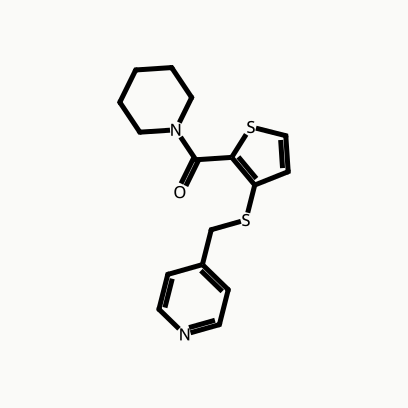 O=C(c1sccc1SCc1ccncc1)N1CCCCC1